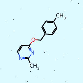 Cc1ccc(COc2ccnc(C)n2)cc1